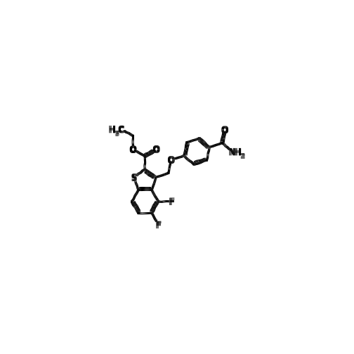 CCOC(=O)c1sc2ccc(F)c(F)c2c1COc1ccc(C(N)=O)cc1